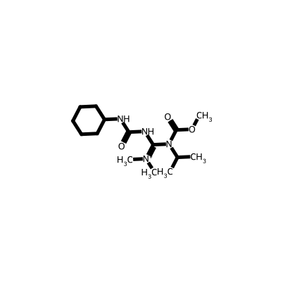 COC(=O)N(C(NC(=O)NC1CCCCC1)=[N+](C)C)C(C)C